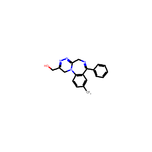 OCC1=NN=C2CN=C(c3ccccc3)c3cc(C(F)(F)F)ccc3N2C1